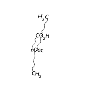 CCCCCCCCCCCCCC(=O)O.CCCCCCCCCCCCCCCC